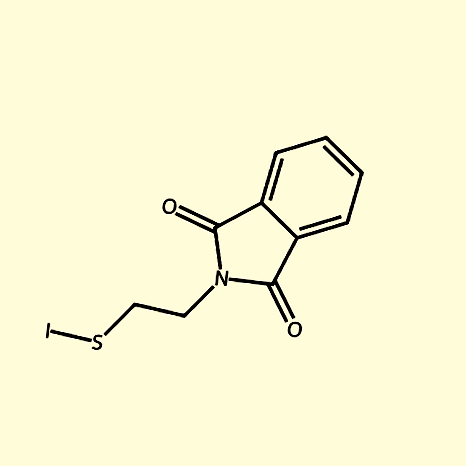 O=C1c2ccccc2C(=O)N1CCSI